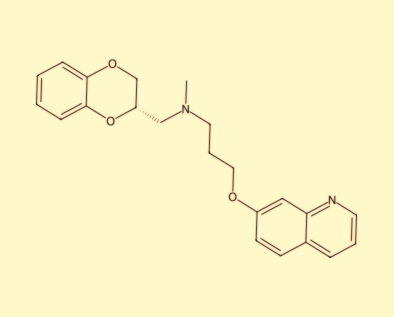 CN(CCCOc1ccc2cccnc2c1)C[C@H]1COc2ccccc2O1